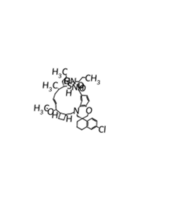 CCC[C@@H]1[C@@H](C)C/C=C/[C@H](OC)[C@@H]2CC[C@H]2CN2C[C@@]3(CCCc4cc(Cl)ccc43)COc3ccc(cc32)C(=O)N[SH]1(=O)NC(=O)CC